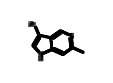 Cc1cc2[nH]cc(C(C)C)c2cn1